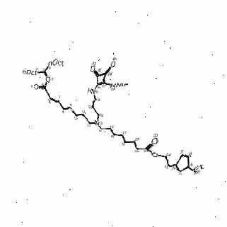 CCCCCCCCC(CCCCCCCC)OC(=O)CCCCCCCN(CCCCCCCC(=O)OCCC1CCC(CC)C1)CCCNc1c(NC)c(=O)c1=O